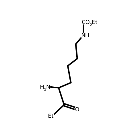 CCOC(=O)NCCCCC(N)C(=O)CC